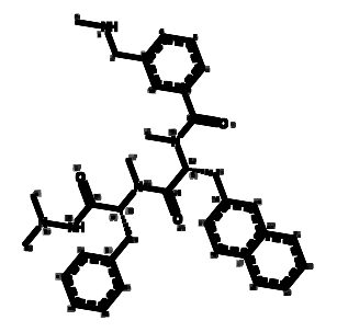 CNCc1cccc(C(=O)N(C)[C@H](Cc2ccc3ccccc3c2)C(=O)N(C)[C@H](Cc2ccccc2)C(=O)NN(C)C)c1